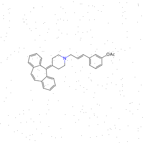 CC(=O)Oc1cccc(C=CCN2CCC(=C3c4ccccc4C=Cc4ccccc43)CC2)c1